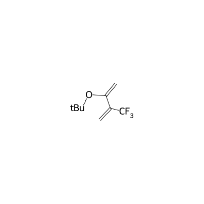 C=C(OC(C)(C)C)C(=C)C(F)(F)F